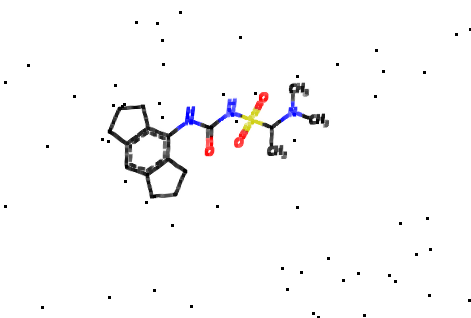 CC(N(C)C)S(=O)(=O)NC(=O)Nc1c2c(cc3c1CCC3)CCC2